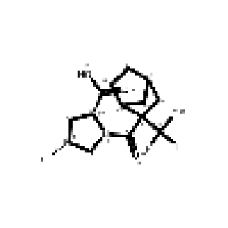 O=C(O)[C@@H]1C[C@@H](F)CN1C(=O)C1(C(F)(F)F)CC2CCC1C2